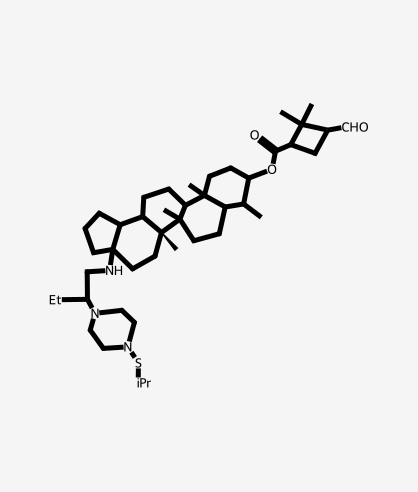 CCC(CNC12CCCC1C1CCC3C4(C)CCC(OC(=O)C5CC(C=O)C5(C)C)C(C)C4CCC3(C)[C@]1(C)CC2)N1CCN(SC(C)C)CC1